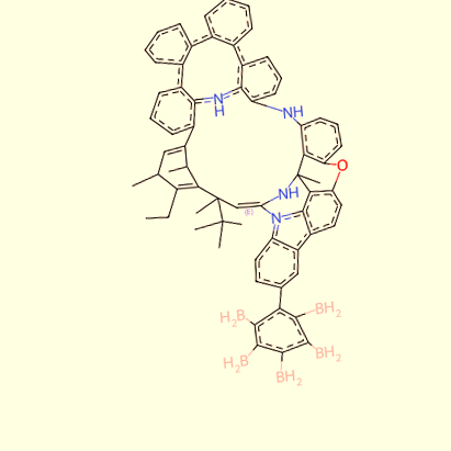 Bc1c(B)c(B)c(-c2ccc3c(c2)c2ccc4c5c2n3/C2=C/C(C)(C(C)(C)C)C3=C(CC)C(C)C=C(c6cccc7c6[nH]c6c(cccc6c6ccccc6c6ccccc76)Nc6cccc(c6C5(C)N2)O4)C3C)c(B)c1B